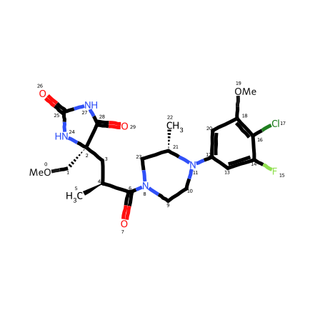 COC[C@]1(C[C@H](C)C(=O)N2CCN(c3cc(F)c(Cl)c(OC)c3)[C@@H](C)C2)NC(=O)NC1=O